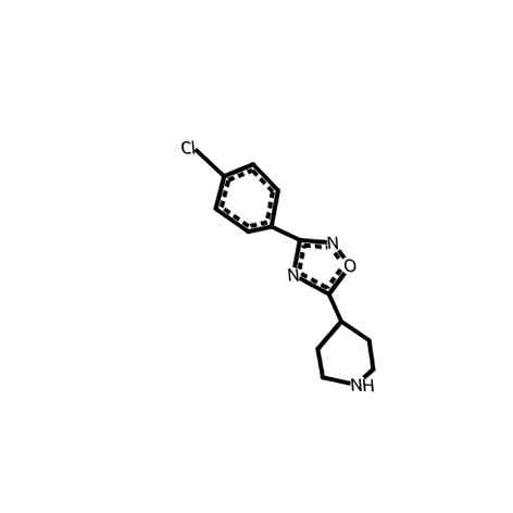 Clc1ccc(-c2noc(C3CCNCC3)n2)cc1